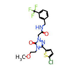 COCCn1c(-c2ccc(Cl)s2)nn(CC(=O)NCc2cccc(C(F)(F)F)c2)c1=O